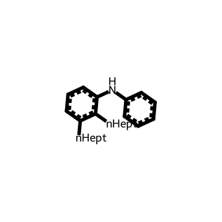 CCCCCCCc1cccc(Nc2ccccc2)c1CCCCCCC